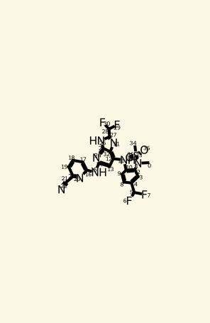 CN(c1cc(C(F)F)ccc1Nc1cc(Nc2cccc(C#N)n2)nc2[nH]c(C(F)F)nc12)S(C)(=O)=O